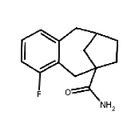 NC(=O)C12[CH]C(CC1)Cc1cccc(F)c1C2